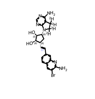 [2H]C1([2H])c2c(N)ncnc2N([C@@H]2C[C@H](/C=C/c3ccc4cc(Br)c(N)nc4c3)[C@@H](O)[C@H]2O)C1([2H])[2H]